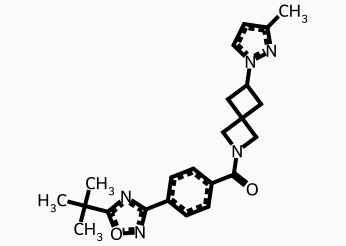 Cc1ccn(C2CC3(C2)CN(C(=O)c2ccc(-c4noc(C(C)(C)C)n4)cc2)C3)n1